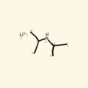 CC(C)NC(C)C.[Li-2]